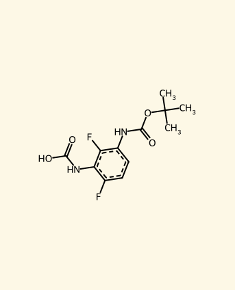 CC(C)(C)OC(=O)Nc1ccc(F)c(NC(=O)O)c1F